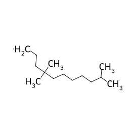 [CH2]CCC(C)(C)CCCCCC(C)C